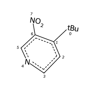 CC(C)(C)c1ccncc1[N+](=O)[O-]